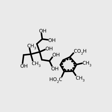 CC(C)(CO)C(O)(CC(O)O)CC(O)O.Cc1c(C(=O)O)ccc(C(=O)O)c1C